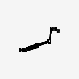 N=BON